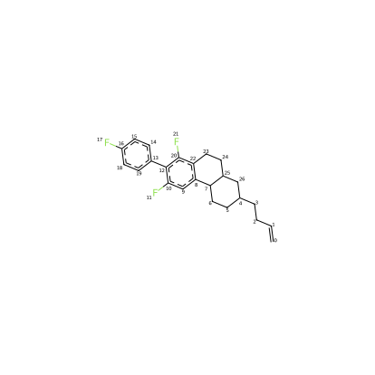 C=CCCC1CCC2c3cc(F)c(-c4ccc(F)cc4)c(F)c3CCC2C1